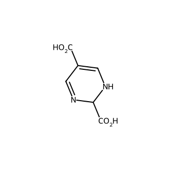 O=C(O)C1=CNC(C(=O)O)N=C1